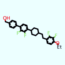 CCOc1ccc(CCC2CCC(c3ccc(-c4ccc(CO)cc4)c(F)c3F)CC2)c(F)c1F